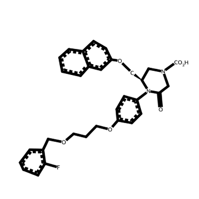 O=C(O)N1CC(=O)N(c2ccc(OCCCOCc3ccccc3F)cc2)[C@@H](COc2ccc3ccccc3c2)C1